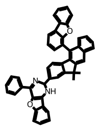 CC1(C)c2cc(C3N=C(c4ccccc4)c4oc5ccccc5c4N3)ccc2-c2c1cc1ccccc1c2-c1cccc2c1oc1ccccc12